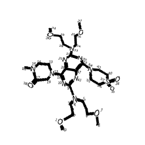 COCCN(CCOC)c1nc(N2CCN(C)C(=O)C2)c2nc(N(CCOC)CCOC)nc(N3CCS(=O)(=O)CC3)c2n1